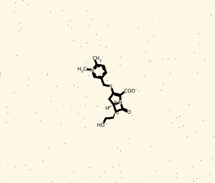 Cc1ccc(CSC2=C(C(=O)[O-])N3C(=O)[C@@H](CCO)[C@H]3C2)c[n+]1C